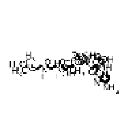 CC(C)(C)SSCCNC(=O)CCNC(=O)[C@@H](O)C(C)(C)COP(=O)(O)OP(=O)(O)OC[C@H]1O[C@@H](n2cnc3c(N)ccnc32)C(O)[C@H]1OP(=O)(O)O